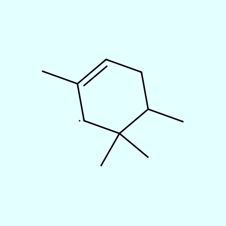 CC1=CCC(C)C(C)(C)[CH]1